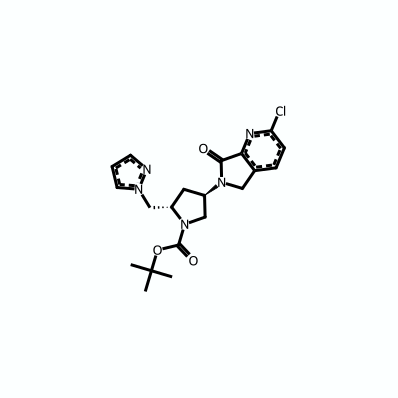 CC(C)(C)OC(=O)N1C[C@H](N2Cc3ccc(Cl)nc3C2=O)C[C@H]1Cn1cccn1